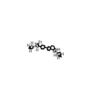 CCc1nc([C@@H]2C[C@H]3C[C@H]3N2)[nH]c1-c1ccc(-c2ccc3c(c2)CCc2[nH]c([C@@H]4C[C@H]5C[C@H]5N4)nc2-3)cc1